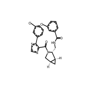 O=C(NC[C@@H]1[C@H]2C[C@H]2CN1C(=O)c1ncsc1-c1cccc(Cl)c1)c1cccc(Cl)c1